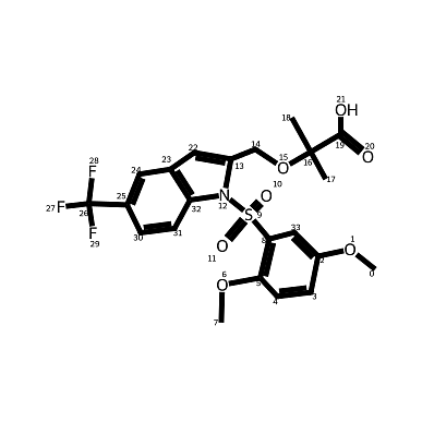 COc1ccc(OC)c(S(=O)(=O)n2c(COC(C)(C)C(=O)O)cc3cc(C(F)(F)F)ccc32)c1